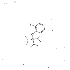 CC(C)[Si](Oc1ccc[c]c1F)(C(C)C)C(C)C